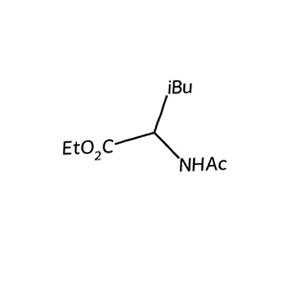 CCOC(=O)C(NC(C)=O)C(C)CC